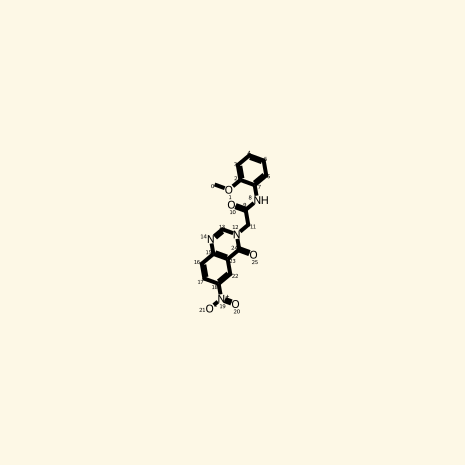 COc1ccccc1NC(=O)Cn1cnc2ccc([N+](=O)[O-])cc2c1=O